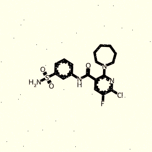 NS(=O)(=O)c1cccc(NC(=O)c2cc(F)c(Cl)nc2N2CCCCCC2)c1